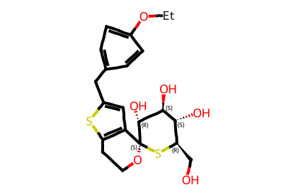 CCOc1ccc(Cc2cc3c(s2)CCO[C@]32S[C@H](CO)[C@@H](O)[C@H](O)[C@H]2O)cc1